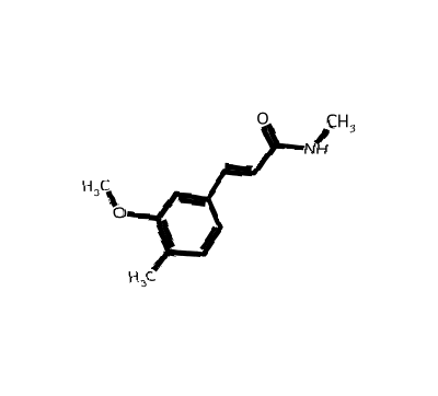 CNC(=O)C=Cc1ccc(C)c(OC)c1